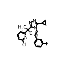 CC(C)(c1cccc(Cl)n1)c1nnc(C2CC2)n1CCc1cccc(F)c1